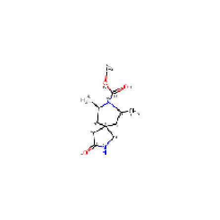 CC1CC2(CNC(=O)C2)CC(C)N1C(=O)OC(C)(C)C